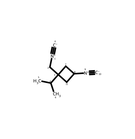 [C-]#[N+]CC1(C(C)C)CC([N+]#[C-])C1